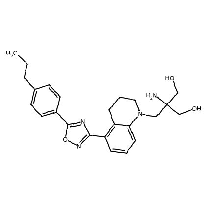 CCCc1ccc(-c2nc(-c3cccc4c3CCCN4CC(N)(CO)CO)no2)cc1